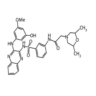 COc1cc(O)cc(Nc2nc3ccccc3nc2NS(=O)(=O)c2cccc(NC(=O)CN3CC(C)OC(C)C3)c2)c1